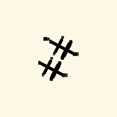 O=S(=O)(O)C(F)(F)F.O=S(=O)(O)C(F)(F)F.[Mn]